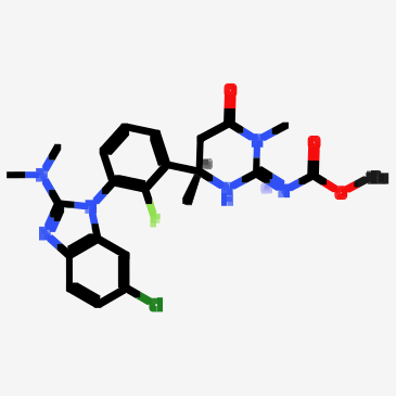 CN1C(=O)C[C@@](C)(c2cccc(-n3c(N(C)C)nc4ccc(Cl)cc43)c2F)N/C1=N/C(=O)OC(C)(C)C